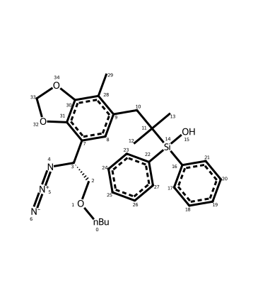 CCCCOC[C@H](N=[N+]=[N-])c1cc(CC(C)(C)[Si](O)(c2ccccc2)c2ccccc2)c(C)c2c1OCO2